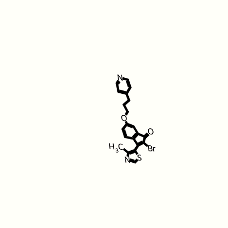 Cc1ncsc1C1=C(Br)C(=O)c2cc(OCCCc3ccncc3)ccc21